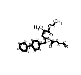 CCOC(=O)[C@H](C)CC(Cc1ccc(-c2ccccc2)cc1)NC(=O)CCC=O